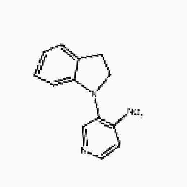 O=[N+]([O-])c1ccncc1N1CCc2ccccc21